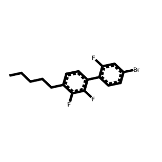 CCCCCc1ccc(-c2ccc(Br)cc2F)c(F)c1F